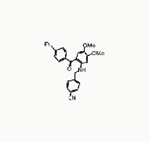 COc1cc(NCc2ccc(C#N)cc2)c(C(=O)c2ccc(C(C)C)cc2)cc1OC